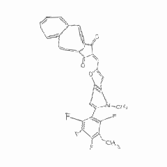 Cc1c(F)c(F)c(F)c(-c2cc3oc(C=C4C(=O)c5cc6ccccc6cc5C4=O)cc3n2C)c1F